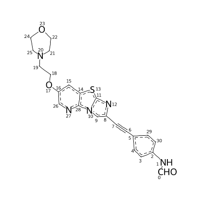 O=CNc1ccc(C#Cc2cn3c(n2)sc2cc(OCCN4CCOCC4)cnc23)cc1